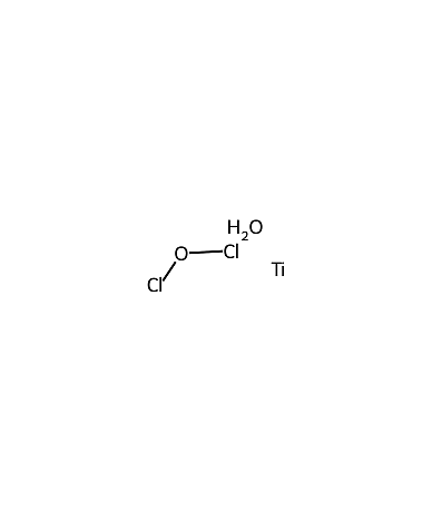 ClOCl.O.[Ti]